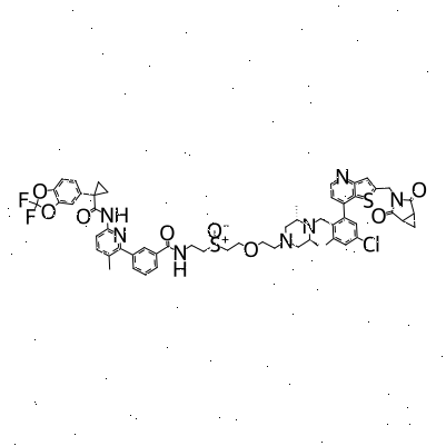 Cc1ccc(NC(=O)C2(c3ccc4c(c3)OC(F)(F)O4)CC2)nc1-c1cccc(C(=O)NCC[S+]([O-])CCOCCN2C[C@H](C)N(Cc3c(C)cc(Cl)cc3-c3ccnc4cc(CN5C(=O)C6CC6C5=O)sc34)[C@@H](C)C2)c1